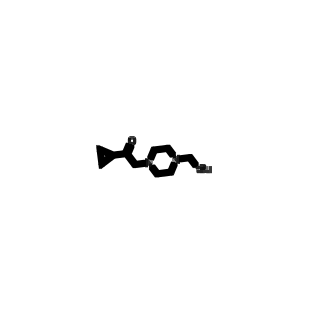 CC(C)(C)CN1CCN(CC(=O)C2CC2)CC1